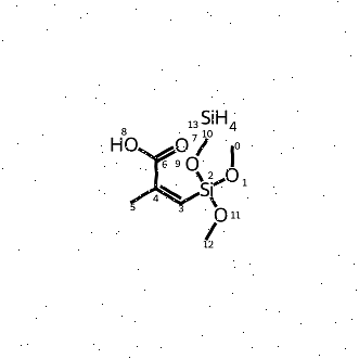 CO[Si](C=C(C)C(=O)O)(OC)OC.[SiH4]